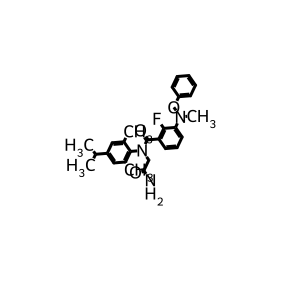 Cc1cc(C(C)C)cc(C)c1N(CC(N)=O)C(=O)c1cccc(N(C)Oc2ccccc2)c1F